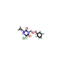 O=c1c(Br)nn(C2CC2)c(=O)n1COCc1ccccc1